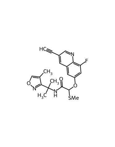 C#Cc1cnc2c(F)cc(OC(SC)C(=O)NC(C)(C)c3nocc3C)cc2c1